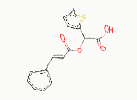 O=C(/C=C/c1ccccc1)OC(C(=O)O)c1cccs1